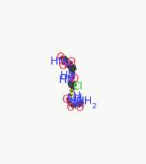 C=C(NC(=O)[C@@H](C)NC(=O)[C@H](C)N)C(=O)NCSCCc1ccc(NC(=O)NCc2ccc3c(c2)CN(C2CCC(=O)NC2=O)C3=O)cc1Cl